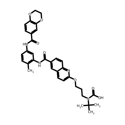 Cc1ccc(NC(=O)c2ccc3c(c2)OCCO3)cc1NC(=O)c1ccc2nc(OCCCN(C(=O)O)C(C)(C)C)ccc2c1